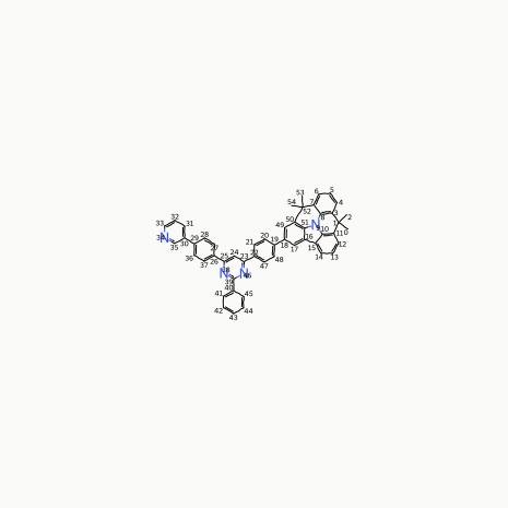 CC1(C)c2cccc3c2-n2c4c1cccc4c1cc(-c4ccc(-c5cc(-c6ccc(-c7cccnc7)cc6)nc(-c6ccccc6)n5)cc4)cc(c12)C3(C)C